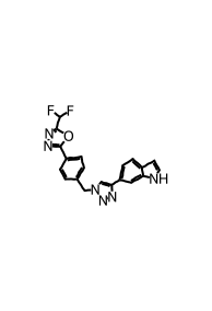 FC(F)c1nnc(-c2ccc(Cn3cc(-c4ccc5cc[nH]c5c4)nn3)cc2)o1